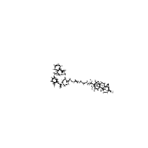 C[C@]12CCC(=O)C[C@@H]1CC[C@@H]1[C@@H]2CC[C@]2(C)[C@@H](OCCCOCCCN3CCN(C(=O)c4cc(Cc5n[nH]c(=O)c6ccccc56)ccc4F)CC3)CC[C@@H]12